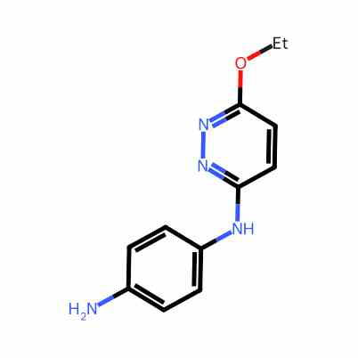 CCOc1ccc(Nc2ccc(N)cc2)nn1